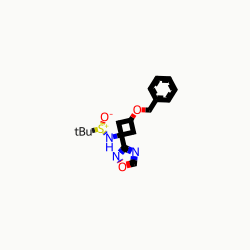 CC(C)(C)[S+]([O-])NC1(c2ncon2)CC(OCc2ccccc2)C1